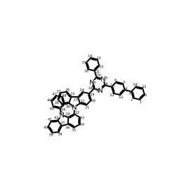 c1ccc(-c2ccc(-c3nc(-c4ccccc4)nc(-c4ccc5c(c4)c4ccccc4n5-c4cccc5c6ccccc6n(-c6ccccc6)c45)n3)cc2)cc1